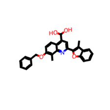 Cc1c(-c2cc(C(O)O)c3ccc(OCc4ccccc4)c(C)c3n2)oc2ccccc12